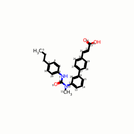 CCCc1ccc(NC(=O)N(C)c2cccc(-c3ccc(/C=C/C(=O)O)cc3)c2)cc1